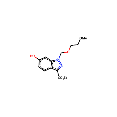 CCOC(=O)c1nn(COCCOC)c2cc(O)ccc12